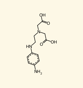 Nc1ccc(NCCN(CC(=O)O)CC(=O)O)cc1